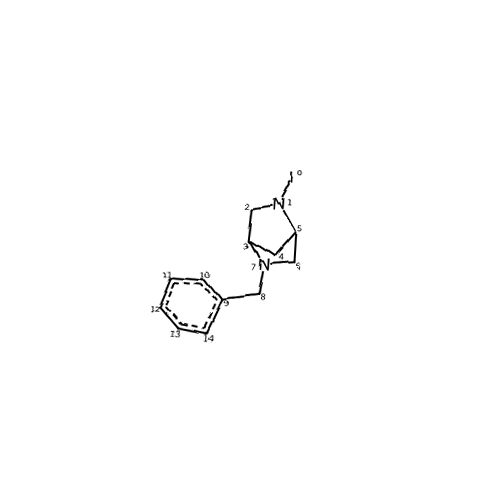 IN1CC2CC1CN2Cc1ccccc1